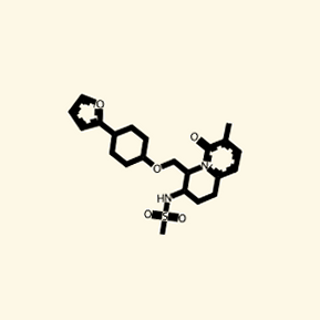 Cc1ccc2n(c1=O)C(COC1CCC(c3ccco3)CC1)C(NS(C)(=O)=O)CC2